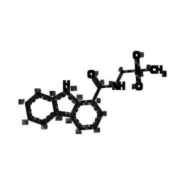 CS(=O)(=O)CNC(=O)c1cccc2c1[nH]c1ccccc12